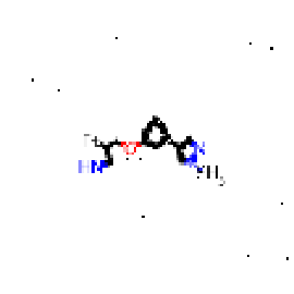 CCC(C=N)COc1c[c]cc(-c2cnn(C)c2)c1